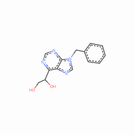 OCC(O)c1ncnc2c1ncn2Cc1ccccc1